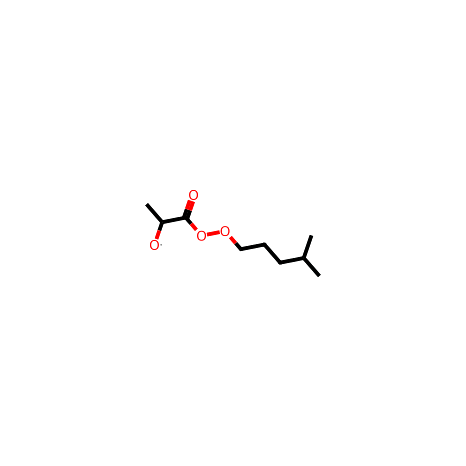 CC(C)CCCOOC(=O)C(C)[O]